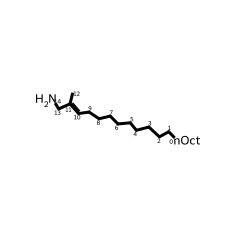 CCCCCCCCCCCCCCCCC/C=C(\C)CN